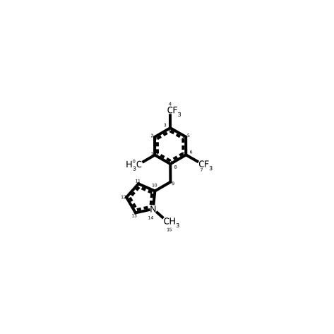 Cc1cc(C(F)(F)F)cc(C(F)(F)F)c1Cc1cccn1C